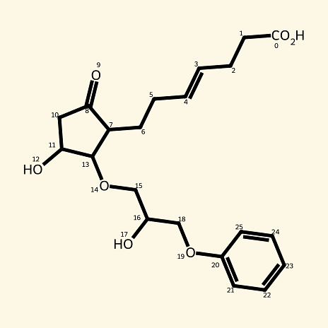 O=C(O)CC/C=C/CCC1C(=O)CC(O)C1OCC(O)COc1ccccc1